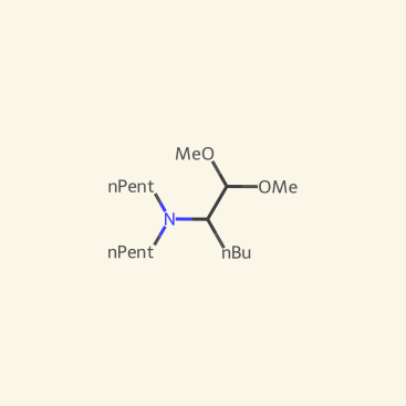 CCCCCN(CCCCC)C(CCCC)C(OC)OC